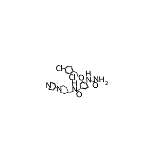 NC(=O)Nc1ccc(C(=O)NCC2CCN(c3ccncc3)CC2)cc1OCCc1ccc(Cl)cc1Cl